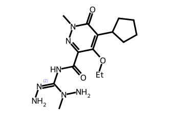 CCOc1c(C(=O)N/C(=N/N)N(C)N)nn(C)c(=O)c1C1CCCC1